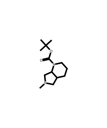 CN1CC2CCCN(C(=O)OC(C)(C)C)C2C1